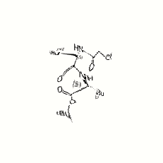 CC[C@H](C)[C@H](NC(=O)CCl)C(=O)N[C@H](C(=O)OC(C)(C)C)[C@@H](C)CC